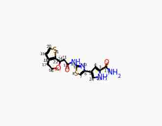 NC(=O)c1cc(-c2csc(NC(=O)CC3OCCc4ccsc43)n2)c[nH]1